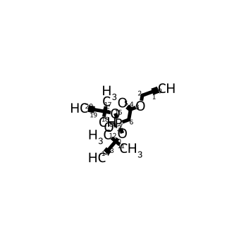 C#CCOC(=O)CP(=O)(OC(C)(C)C#C)OC(C)(C)C#C